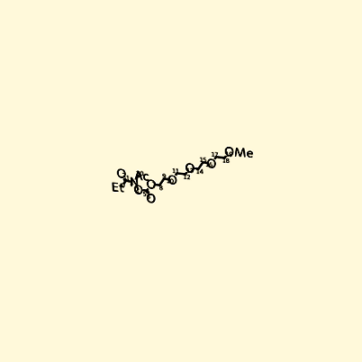 CCC(=O)N(OC(=O)OCCOCCOCCOCCOC)C(C)=O